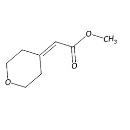 COC(=O)C=C1CCOCC1